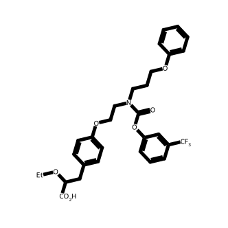 CCOC(Cc1ccc(OCCN(CCCOc2ccccc2)C(=O)Oc2cccc(C(F)(F)F)c2)cc1)C(=O)O